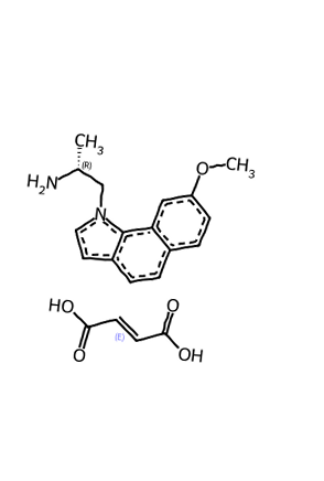 COc1ccc2ccc3ccn(C[C@@H](C)N)c3c2c1.O=C(O)/C=C/C(=O)O